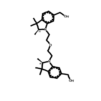 C[C@@H]1N(CCOCCN2c3cc(CO)ccc3C(C)(C)[C@H]2C)c2cc(CO)ccc2C1(C)C